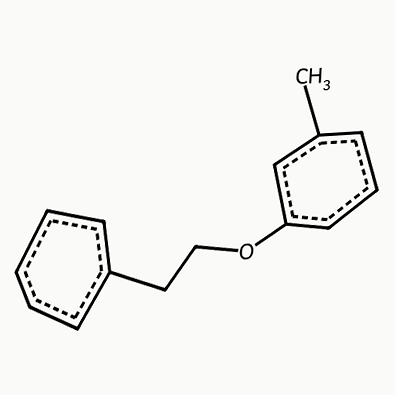 Cc1cccc(OCCc2ccccc2)c1